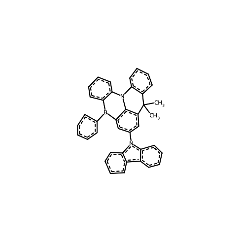 CC1(C)c2ccccc2N2c3ccccc3B(c3ccccc3)c3cc(-n4c5ccccc5c5ccccc54)cc1c32